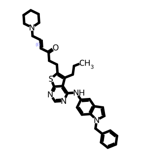 CCCc1c(CCC(=O)/C=C/CN2CCCCC2)sc2ncnc(Nc3ccc4c(ccn4Cc4ccccc4)c3)c12